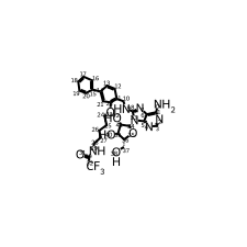 Nc1ncnc2c1nc(NCc1ccc(-c3ccccc3)cc1OCCCCCNC(=O)C(F)(F)F)n2[C@@H]1O[C@H](CO)C(O)C1O